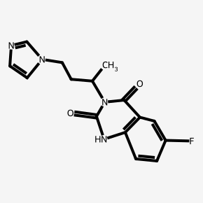 CC(CCn1ccnc1)n1c(=O)[nH]c2ccc(F)cc2c1=O